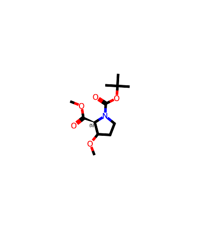 COC(=O)[C@@H]1C(OC)CCN1C(=O)OC(C)(C)C